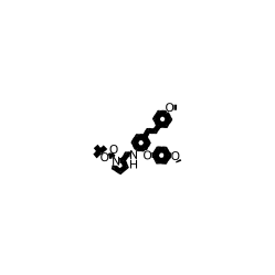 COc1ccc(CCc2ccc(NCC3CCCN3C(=O)OC(C)(C)C)c(Oc3ccc(OC)cc3)c2)cc1